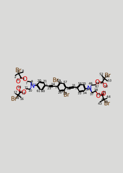 CC(C)(Br)C(=O)OCCN(CCOC(=O)C(C)(C)Br)c1ccc(C#Cc2cc(Br)c(C#Cc3ccc(N(CCOC(=O)C(C)(C)Br)CCOC(=O)C(C)(C)Br)cc3)cc2Br)cc1